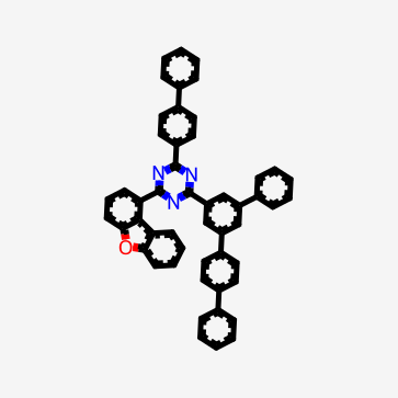 c1ccc(-c2ccc(-c3cc(-c4ccccc4)cc(-c4nc(-c5ccc(-c6ccccc6)cc5)nc(-c5cccc6oc7ccccc7c56)n4)c3)cc2)cc1